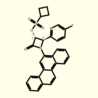 O=C1[C@H](OS(=O)(=O)C2CCC2)[C@@H](c2ccc(F)cn2)N1c1cc2c3ccccc3ccc2c2ccccc12